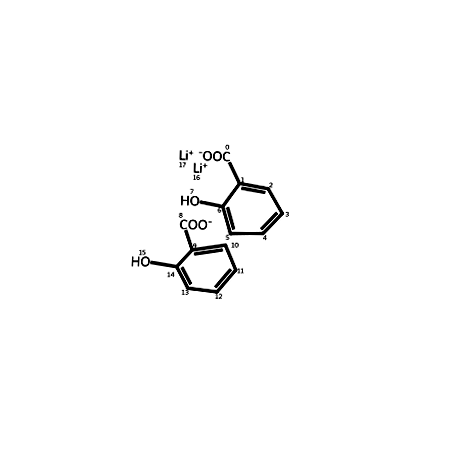 O=C([O-])c1ccccc1O.O=C([O-])c1ccccc1O.[Li+].[Li+]